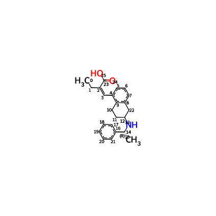 CCC(=Cc1cccc2c1CCC(N[C@H](C)c1ccccc1)C2)C(=O)O